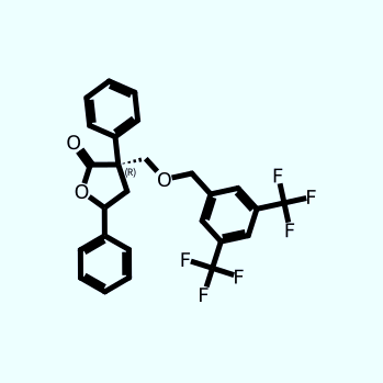 O=C1OC(c2ccccc2)C[C@]1(COCc1cc(C(F)(F)F)cc(C(F)(F)F)c1)c1ccccc1